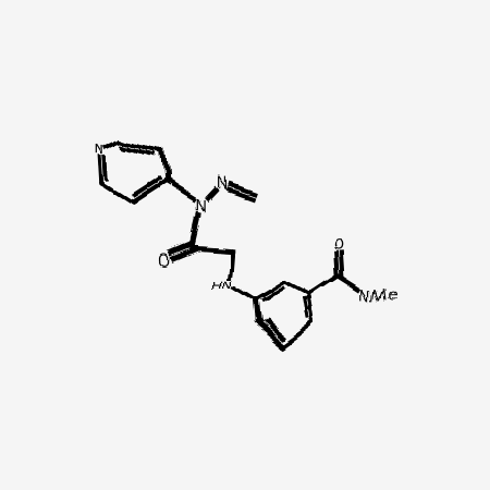 C=NN(C(=O)CNc1cccc(C(=O)NC)c1)c1ccncc1